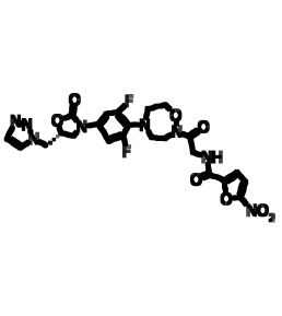 O=C(NCC(=O)N1CCN(c2c(F)cc(N3C[C@H](Cn4ccnn4)OC3=O)cc2F)CCO1)c1ccc([N+](=O)[O-])o1